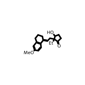 CCC1(CC=C2CCCc3cc(OC)ccc32)C(=O)CCC1O